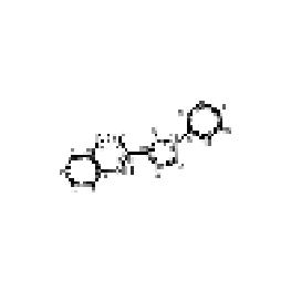 C[C@H](Nc1ccccc1[N+](=O)[O-])c1nc(-c2ccccc2)cs1